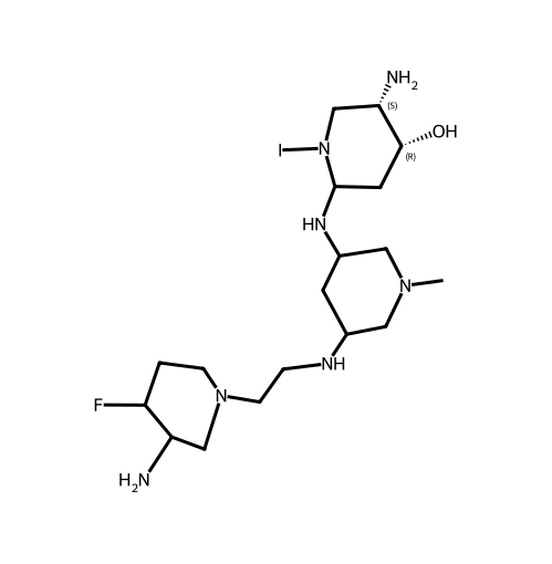 CN1CC(NCCN2CCC(F)C(N)C2)CC(NC2C[C@@H](O)[C@@H](N)CN2I)C1